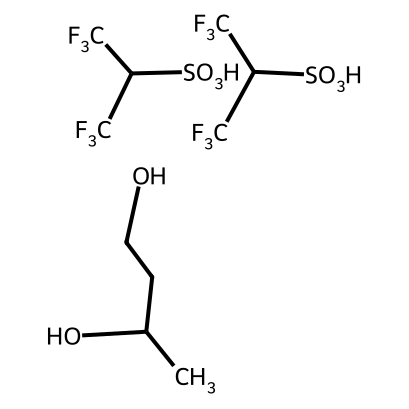 CC(O)CCO.O=S(=O)(O)C(C(F)(F)F)C(F)(F)F.O=S(=O)(O)C(C(F)(F)F)C(F)(F)F